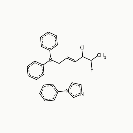 CC(F)C(Cl)C=CCB(c1ccccc1)c1ccccc1.c1ccc(-n2ccnc2)cc1